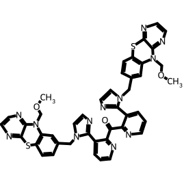 COCN1c2cc(Cn3ccnc3-c3cccnc3C(=O)c3ncccc3-c3nccn3Cc3ccc4c(c3)N(COC)c3nccnc3S4)ccc2Sc2nccnc21